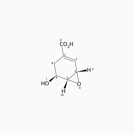 O=C(O)C1=C[C@@H]2O[C@@H]2[C@@H](O)C1